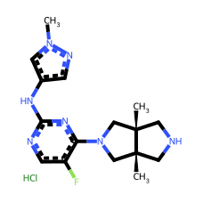 Cl.Cn1cc(Nc2ncc(F)c(N3C[C@]4(C)CNC[C@]4(C)C3)n2)cn1